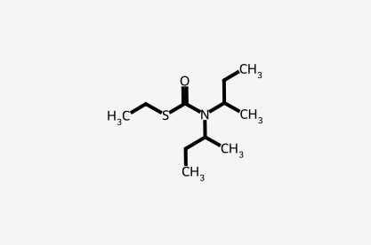 CCSC(=O)N(C(C)CC)C(C)CC